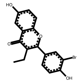 CCc1c(-c2ccc(O)c(Br)c2)oc2ccc(O)cc2c1=O